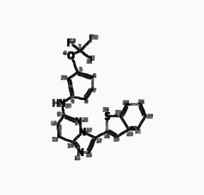 FC(F)(F)Oc1cccc(Nc2ccc3ncc(-c4cc5ccccc5s4)n3n2)c1